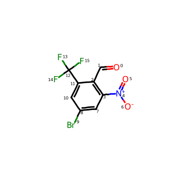 O=Cc1c([N+](=O)[O-])cc(Br)cc1C(F)(F)F